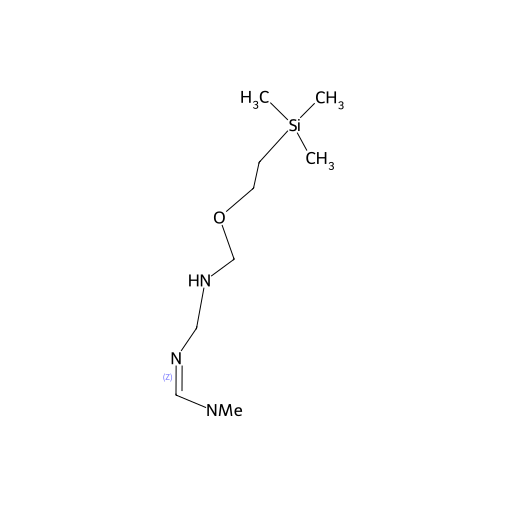 CN/C=N\CNCOCC[Si](C)(C)C